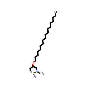 CCCCCCCCCCCCCCCCCCOC(CC)CN(C)C